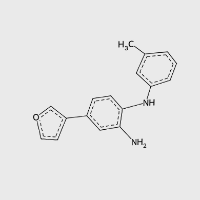 Cc1cccc(Nc2ccc(-c3ccoc3)cc2N)c1